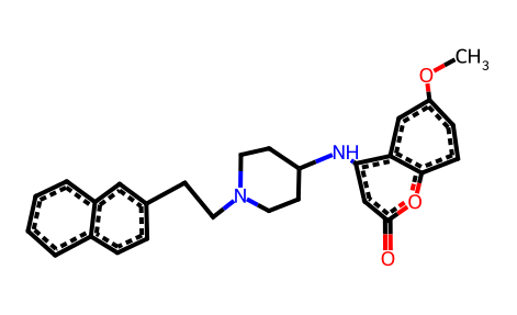 COc1ccc2oc(=O)cc(NC3CCN(CCc4ccc5ccccc5c4)CC3)c2c1